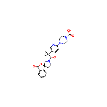 O=C1OC2(CCN(C(=O)C3(c4ccc(N5CCN(C(=O)O)CC5)nc4)CC3)C2)c2ccccc21